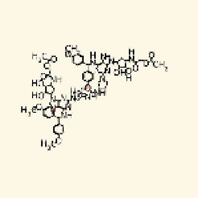 COc1ccc(C(Nc2nc(N3CCC(NC(=O)NC4CCN(c5nc(NC(c6ccc(OC)cc6)c6ccc(OC)cc6)c6ncn(C7CC(NC(=O)COC(C)=O)C(O)C7O)c6n5)C4)C3)nc3c2ncn3C2CC(NC(=O)COC(C)=O)C(O)C2O)c2ccc(OC)cc2)cc1